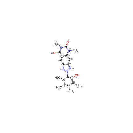 Cc1c(C)c(C)c(-n2nc3cc4c(=O)n(C)c(=O)n(C)c4cc3n2)c(O)c1C